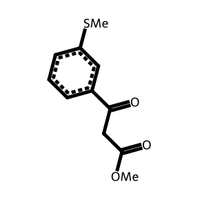 COC(=O)CC(=O)c1cccc(SC)c1